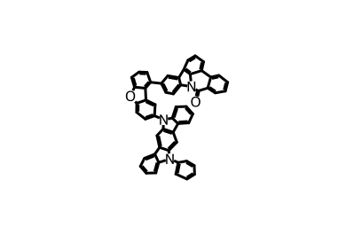 O=c1c2ccccc2c2cccc3c4cc(-c5cccc6oc7ccc(-n8c9ccccc9c9cc%10c(cc98)c8ccccc8n%10-c8ccccc8)cc7c56)ccc4n1c23